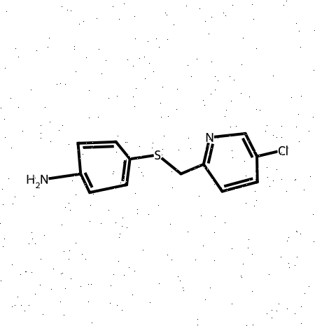 Nc1ccc(SCc2ccc(Cl)cn2)cc1